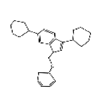 C1=C(C2CCCCC2)c2ccc(C3CCCCC3)cc2C1COc1ccccc1